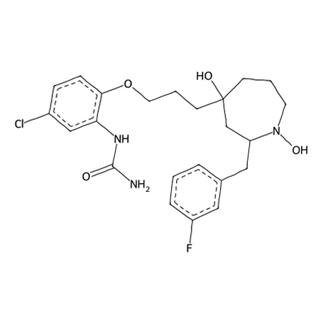 NC(=O)Nc1cc(Cl)ccc1OCCCC1(O)CCCN(O)C(Cc2cccc(F)c2)C1